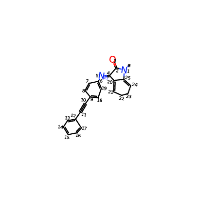 CN1C(=O)/C(=N/c2ccc(C#Cc3ccccc3)cc2)C2=CCCC=C21